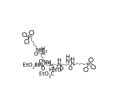 CCOC(=O)CNC(=O)C(CSSCC(NC(=O)CCC(N)C(=O)NCCCCCC[P+](c1ccccc1)(c1ccccc1)c1ccccc1)C(=O)NCC(=O)OCC)NC(=O)CCC(N)C(=O)NCCCCCC[P+](c1ccccc1)(c1ccccc1)c1ccccc1